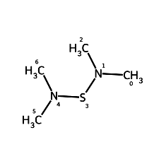 CN(C)SN(C)C